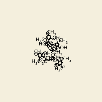 COc1cc(CO)c(C(=O)OC(C)(C)COCC(C)(COCC(C)(COCC(C)(CO)OC(=O)c2c(CO)cc(OC)cc2OC)OC(=O)c2c(CO)cc(OC)cc2OC)OC(=O)c2c(CO)cc(OC)cc2OC)c(OC)c1